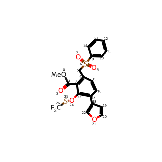 COC(=O)c1c(CS(=O)(=O)c2ccccc2)ccc(-c2ccoc2)c1OSC(F)(F)F